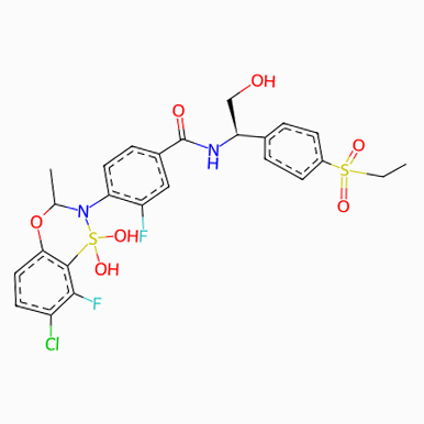 CCS(=O)(=O)c1ccc([C@H](CO)NC(=O)c2ccc(N3C(C)Oc4ccc(Cl)c(F)c4S3(O)O)c(F)c2)cc1